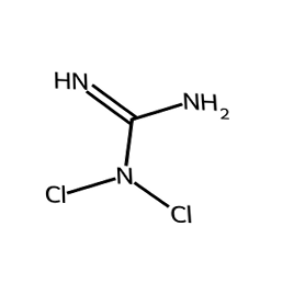 N=C(N)N(Cl)Cl